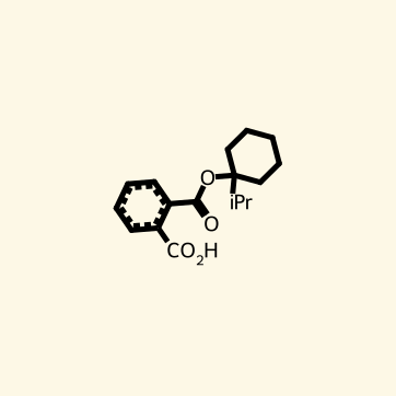 CC(C)C1(OC(=O)c2ccccc2C(=O)O)CCCCC1